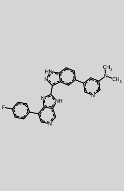 CN(C)c1cncc(-c2ccc3[nH]nc(-c4nc5c(-c6ccc(F)cc6)cncc5[nH]4)c3c2)c1